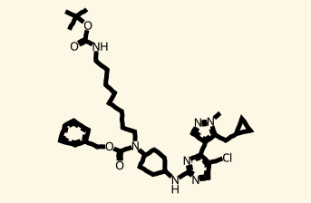 Cn1ncc(-c2nc(NC3CCC(N(CCCCCCCCNC(=O)OC(C)(C)C)C(=O)OCc4ccccc4)CC3)ncc2Cl)c1CC1CC1